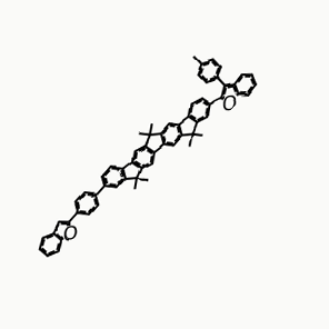 Cc1ccc(-c2c(-c3ccc4c(c3)C(C)(C)c3cc5c(cc3-4)C(C)(C)c3cc4c(cc3-5)C(C)(C)c3cc(-c5ccc(-c6cc7ccccc7o6)cc5)ccc3-4)oc3ccccc23)cc1